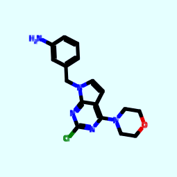 Nc1cccc(Cn2ccc3c(N4CCOCC4)nc(Cl)nc32)c1